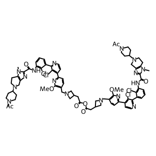 COc1nc(-c2ccnc(-c3cccc(NC(=O)c4nc5c(n4C)CCN(C4CCN(C(C)=O)CC4)C5)c3Cl)c2Cl)ccc1CN1CC(CC(=O)OC(=O)CC2CN(Cc3ccc(-c4ccnc(-c5cccc(NC(=O)c6nc7c(n6C)CCN(C6CCN(C(C)=O)CC6)C7)c5Cl)c4Cl)nc3OC)C2)C1